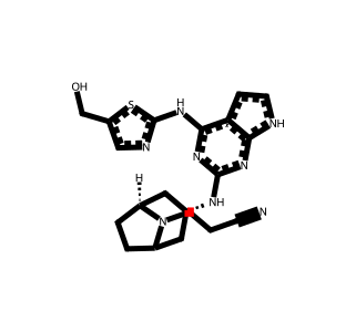 N#CCCN1C2CC[C@H]1C[C@H](Nc1nc(Nc3ncc(CO)s3)c3cc[nH]c3n1)C2